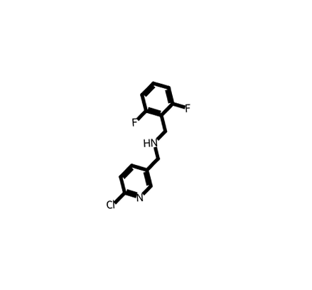 Fc1cccc(F)c1CNCc1ccc(Cl)nc1